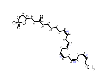 CC/C=C\C/C=C\C/C=C\C/C=C\C/C=C\CCCCCC(=O)CCC1COS(=O)(=O)O1